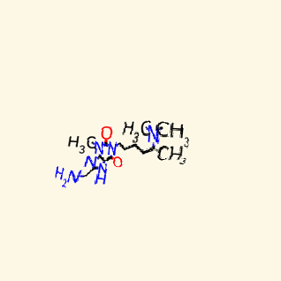 C[C@H](CCCCn1c(=O)c2[nH]c(CN)nc2n(C)c1=O)N(C)C